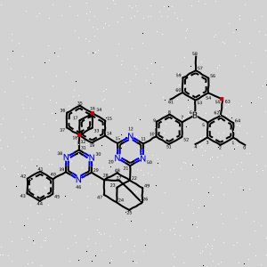 Cc1cc(C)c(B(c2ccc(-c3nc(-c4ccccc4)nc(C45CC6CC(CC(c7nc(-c8ccccc8)nc(-c8ccccc8)n7)(C6)C4)C5)n3)cc2)c2c(C)cc(C)cc2C)c(C)c1